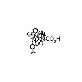 C=C(C)c1ccc(Cn2c(=O)c(C(=O)NCC(=O)O)c(O)n(-c3c(Cl)cccc3Cl)c2=O)cc1